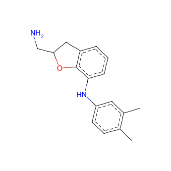 Cc1ccc(Nc2cccc3c2OC(CN)C3)cc1C